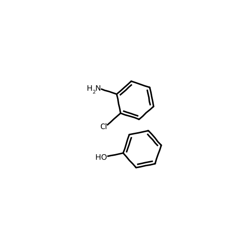 Nc1ccccc1Cl.Oc1ccccc1